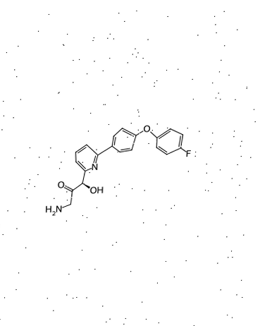 NCC(=O)[C@H](O)c1cccc(-c2ccc(Oc3ccc(F)cc3)cc2)n1